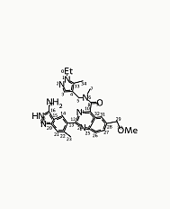 CCn1ncc(CN(C)C(=O)c2nc(-c3cc4c(N)[nH]nc4cc3C)nc3ccc(COC)cc23)c1C